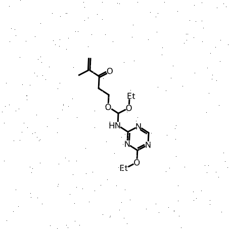 C=C(C)C(=O)CCOC(Nc1ncnc(OCC)n1)OCC